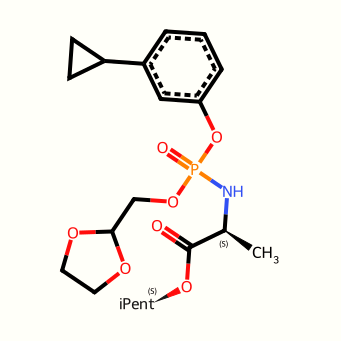 CCC[C@H](C)OC(=O)[C@H](C)NP(=O)(OCC1OCCO1)Oc1cccc(C2CC2)c1